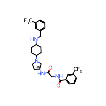 O=C(CNC(=O)c1cccc(C(F)(F)F)c1)N[C@@H]1CCN(C2CCC(NCc3cccc(C(F)(F)F)c3)CC2)C1